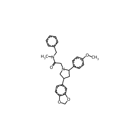 COc1ccc(C2CC(c3ccc4c(c3)OCO4)CN2CC(=O)N(C)Cc2ccccc2)cc1